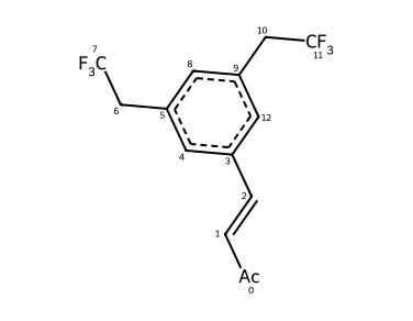 CC(=O)C=Cc1cc(CC(F)(F)F)cc(CC(F)(F)F)c1